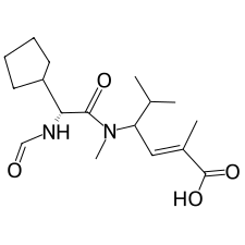 C/C(=C\C(C(C)C)N(C)C(=O)[C@H](NC=O)C1CCCC1)C(=O)O